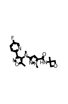 Cc1onc(-c2ccc(F)cn2)c1N(C)c1cc(C(=O)NC2(C)COC2)n(C)n1